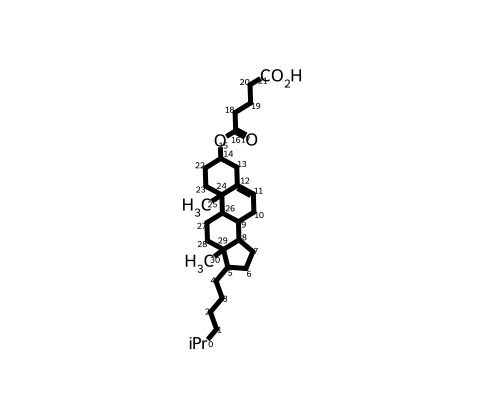 CC(C)CCCCC1CCC2C3CC=C4CC(OC(=O)CCCC(=O)O)CCC4(C)C3CCC12C